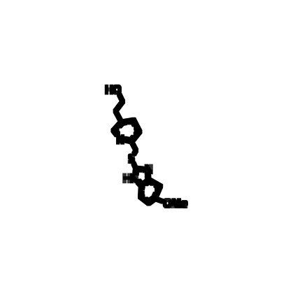 COc1ccc2[nH]c(SCc3ccc(CCO)cn3)nc2c1